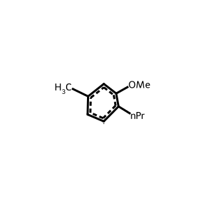 CCCc1[c]cc(C)cc1OC